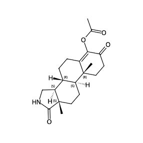 CC(=O)OC1=C2CC[C@@H]3[C@H](CC[C@]4(C)C(=O)NC[C@@H]34)[C@@]2(C)CCC1=O